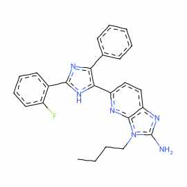 CCCCn1c(N)nc2ccc(-c3[nH]c(-c4ccccc4F)nc3-c3ccccc3)nc21